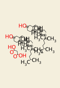 CC(C)CCC[C@@H](C)[C@H]1CC[C@H]2[C@@H]3CC=C4C[C@@H](O)CC[C@]4(C)[C@H]3CC[C@]12C.CC(C)CCC[C@@H](C)[C@H]1CC[C@H]2[C@@H]3CC=C4C[C@@H](O)CC[C@]4(C)[C@H]3CC[C@]12C.O=C(O)CC(=O)O